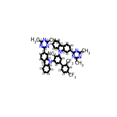 Cc1nc(C)nc(-c2ccc3c4ccccc4n(-c4cc(-c5ccc(C(F)(F)F)cc5C(F)(F)F)cc(-n5c6ccccc6c6ccc(-c7nc(C)nc(C)n7)cc65)c4C#N)c3c2)n1